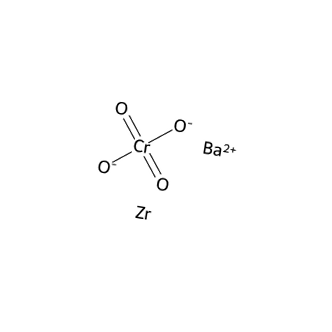 [Ba+2].[O]=[Cr](=[O])([O-])[O-].[Zr]